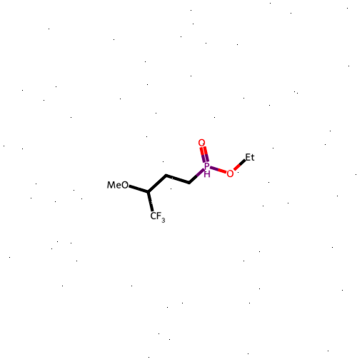 CCO[PH](=O)CCC(OC)C(F)(F)F